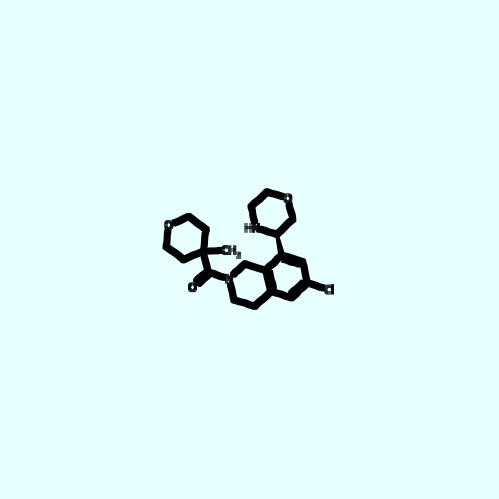 CC1(C(=O)N2CCc3cc(Cl)cc([C@@H]4COCCN4)c3C2)CCOCC1